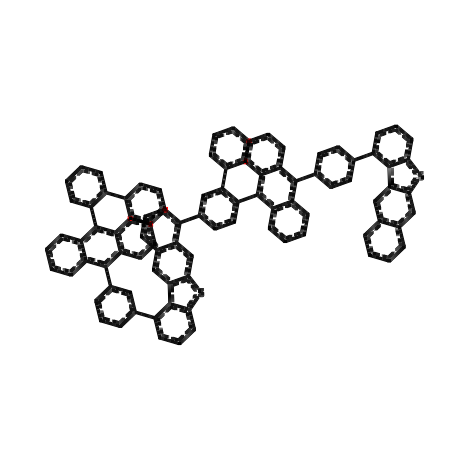 c1ccc(-c2ccccc2-c2c3ccccc3c(-c3cccc(-c4cccc5sc6cc7c(-c8ccc(-c9c%10ccccc%10c(-c%10ccc(-c%11cccc%12sc%13cc%14ccccc%14cc%13c%11%12)cc%10)c%10ccccc9%10)c(-c9ccccc9)c8)cccc7cc6c45)c3)c3ccccc23)cc1